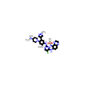 COc1cc(N2CCC(N(C)C)CC2)c(-c2cnn(C)c2)cc1Nc1ncc(Br)c(Nc2ccc3nccnc3c2NS(C)(=O)=O)n1